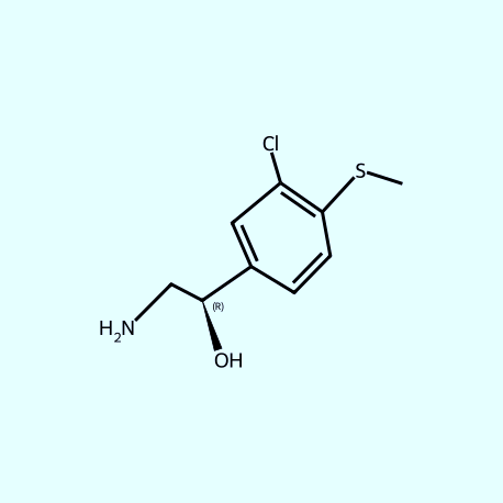 CSc1ccc([C@@H](O)CN)cc1Cl